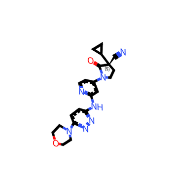 N#C[C@@]1(C2CC2)CCN(c2ccnc(Nc3ccc(N4CCOCC4)nn3)c2)C1=O